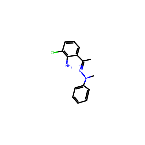 C/C(=N\N(C)c1ccccc1)c1cccc(Cl)c1N